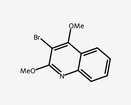 COc1nc2ccccc2c(OC)c1Br